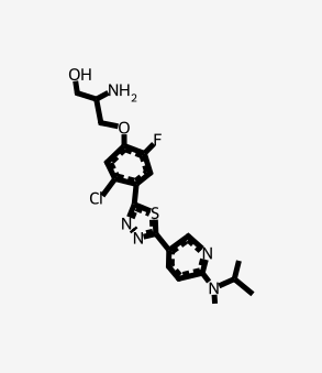 CC(C)N(C)c1ccc(-c2nnc(-c3cc(F)c(OCC(N)CO)cc3Cl)s2)cn1